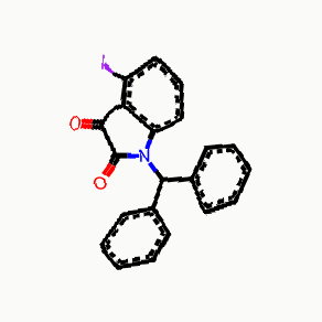 O=C1C(=O)N(C(c2ccccc2)c2ccccc2)c2cccc(I)c21